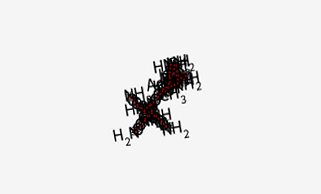 CC(=O)N[C@H](C(=O)N[C@@H](Cc1ccc(O)cc1)C(=O)N[C@@H](CCCNC(=N)N)C(=O)NCC(=O)N[C@@H](CCCNC(=N)N)C(=O)N[C@H]1CC(C)N(CCOCCOCCNC(=O)CN2CCN(CC(=O)NCCOCCOCCN)CCN(CC(=O)NCCOCCOCCN)CCN(CC(=O)NCCOCCOCCN)CC2)C1=O)c1c[nH]c2ccccc12